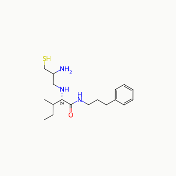 CCC(C)[C@H](NCC(N)CS)C(=O)NCCCc1ccccc1